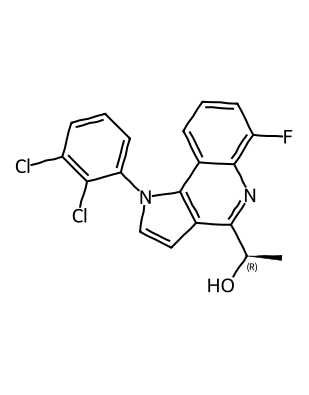 C[C@@H](O)c1nc2c(F)cccc2c2c1ccn2-c1cccc(Cl)c1Cl